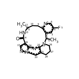 CC1c2cc(F)cnc2CC[C@@H](C)NC(=O)c2cnn3cc4c(nc23)N1CCC4